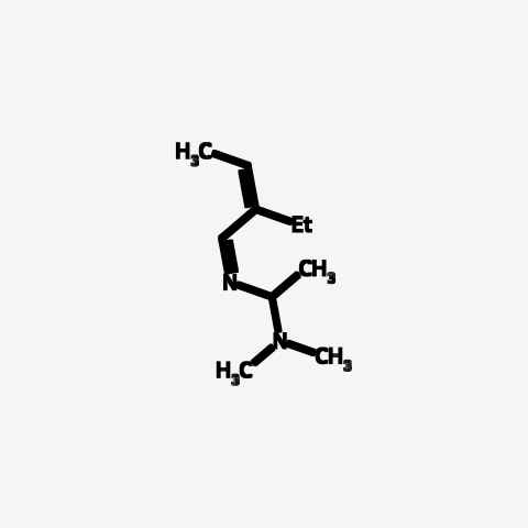 C/C=C(\C=N/C(C)N(C)C)CC